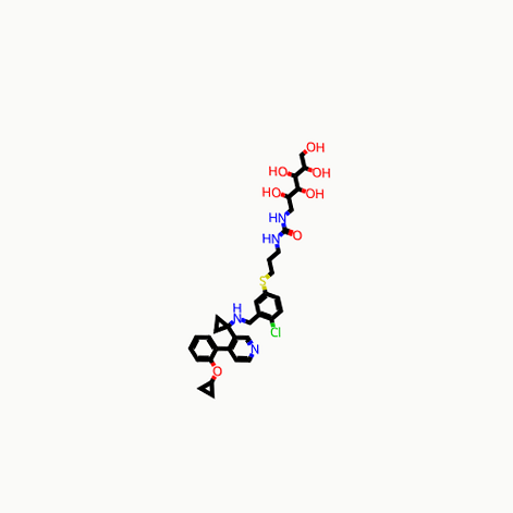 O=C(NCCCSc1ccc(Cl)c(CNC2(c3cnccc3-c3ccccc3OC3CC3)CC2)c1)NCC(O)C(O)C(O)C(O)CO